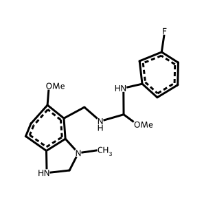 COc1ccc2c(c1CNC(Nc1cccc(F)c1)OC)N(C)CN2